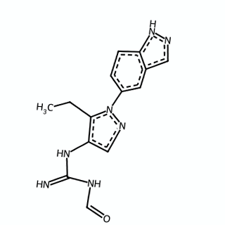 CCc1c(NC(=N)NC=O)cnn1-c1ccc2[nH]ncc2c1